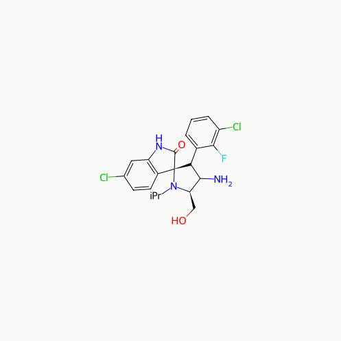 CC(C)N1[C@H](CO)C(N)C(c2cccc(Cl)c2F)[C@@]12C(=O)Nc1cc(Cl)ccc12